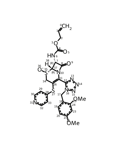 C=CCOC(=O)N[C@@H]1C(=O)N2C(c3nnnn3Cc3ccc(OC)cc3OC)=C(Sc3ccncc3)C[S+]([O-])[C@H]12